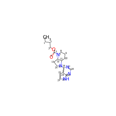 CCCCOC(=O)N1CCCC2C1CCN2c1ncnc2[nH]ccc12